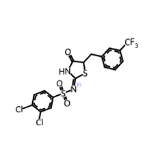 O=C1N/C(=N\S(=O)(=O)c2ccc(Cl)c(Cl)c2)SC1Cc1cccc(C(F)(F)F)c1